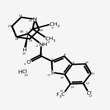 CC1(C)[C@H](NC(=O)c2cc3ccc(Cl)c(C(F)(F)F)c3s2)C2CCN1CC2.Cl